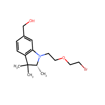 C[C@H]1N(CCOCCBr)c2cc(CO)ccc2C1(C)C